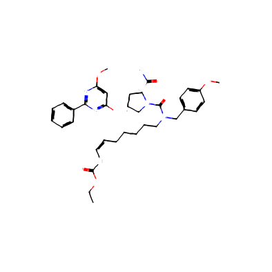 CCOC(=O)B/C=C\CCCCCN(Cc1ccc(OC)cc1)C(=O)N1C[C@H](Oc2cc(OC)nc(-c3ccccc3)n2)C[C@H]1C(N)=O